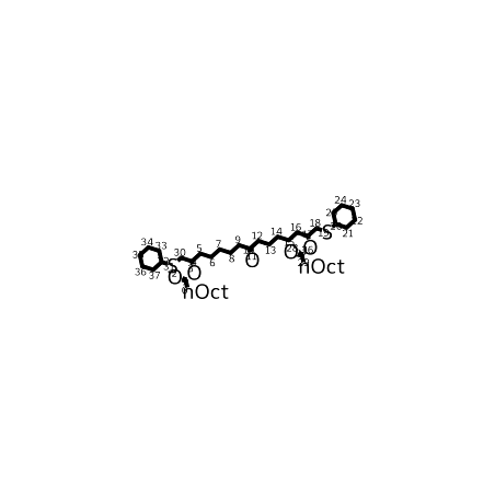 CCCCCCCCC(=O)OC(CCCCCC(=O)CCCCCC(CSC1CCCCC1)OC(=O)CCCCCCCC)CSC1CCCCC1